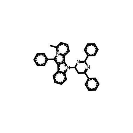 Cc1cccc2c3c(c(-c4ccccc4)n12)c1ccccc1n3C1CC(c2ccccc2)=NC(c2ccccc2)=N1